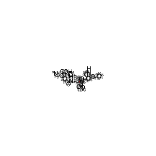 CN1CCC(OC(=O)C(O)(c2ccccc2)c2cccc(C(=O)NCCCCN(CC(O[Si](C)(C)C(C)(C)C)c3ccc(OCc4ccccc4)c4c3C=CCN4)C(=O)OC(C)(C)C)c2)C1